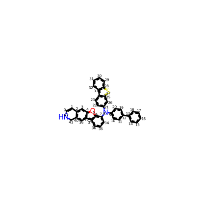 C1=Cc2cc3oc4c(N(c5ccc(-c6ccccc6)cc5)c5ccc6c(c5)sc5ccccc56)cccc4c3cc2CN1